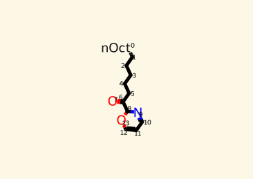 CCCCCCCCCCCCCC(=O)C1N=CC=CO1